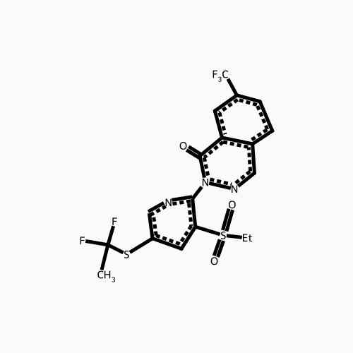 CCS(=O)(=O)c1cc(SC(C)(F)F)cnc1-n1ncc2ccc(C(F)(F)F)cc2c1=O